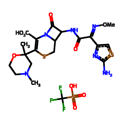 CON=C(C(=O)NC1C(=O)N2C(C(=O)O)=C(C3(C)CN(C)CCO3)SCC12)c1csc(N)n1.O=S(=O)(O)C(F)(F)F